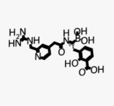 N=C(N)NCc1cc(CC(=O)N[C@@H](Cc2cccc(C(=O)O)c2O)B(O)O)ccn1